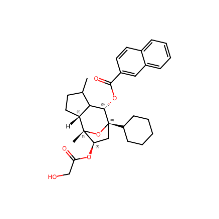 CC1CC[C@@H]2C1[C@H](OC(=O)c1ccc3ccccc3c1)[C@]1(C3CCCCC3)C[C@@H](OC(=O)CO)[C@@]2(C)O1